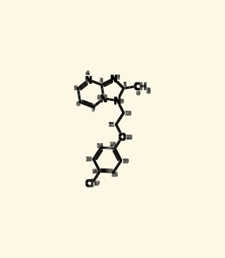 CC1N=C2N=CC=CN2N1CCOc1ccc(Cl)cc1